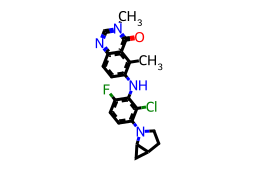 Cc1c(Nc2c(F)ccc(N3CCC4CC43)c2Cl)ccc2ncn(C)c(=O)c12